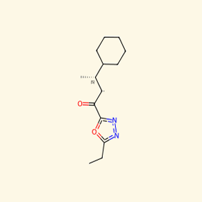 CCc1nnc(C(=O)[CH][C@H](C)C2CCCCC2)o1